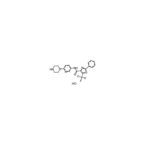 Cl.O=C(Nc1ccc(N2CCNCC2)nc1)c1nc(-c2ccccc2)oc1C(F)(F)F